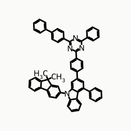 CC1(C)c2ccccc2-c2ccc(-n3c4ccccc4c4c(-c5ccccc5)cc(-c5ccc(-c6nc(-c7ccccc7)nc(-c7ccc(-c8ccccc8)cc7)n6)cc5)cc43)cc21